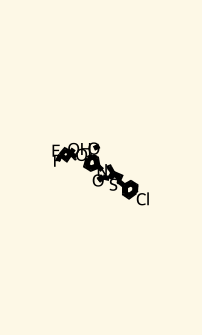 COc1cc(N2Cc3cc(-c4ccc(Cl)cc4)sc3C2=O)ccc1OCC1(O)CC(F)(F)C1